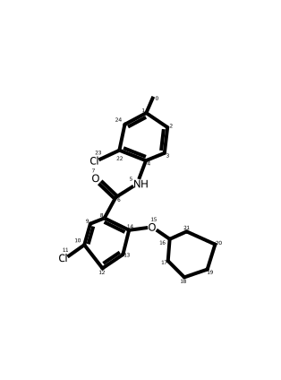 Cc1ccc(NC(=O)c2cc(Cl)ccc2OC2CCCCC2)c(Cl)c1